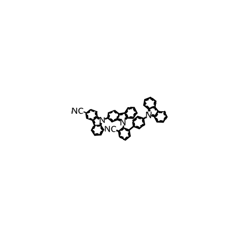 N#Cc1ccc2c(c1)c1ccccc1n2-c1ccc2c3ccccc3n(-c3c(C#N)cccc3-c3ccc(-n4c5ccccc5c5ccccc54)cc3)c2c1